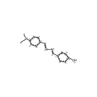 CN(C)c1ccc(/C=N/N=C/c2ccc(O)cc2)cc1